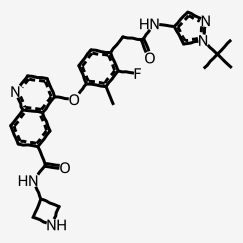 Cc1c(Oc2ccnc3ccc(C(=O)NC4CNC4)cc23)ccc(CC(=O)Nc2cnn(C(C)(C)C)c2)c1F